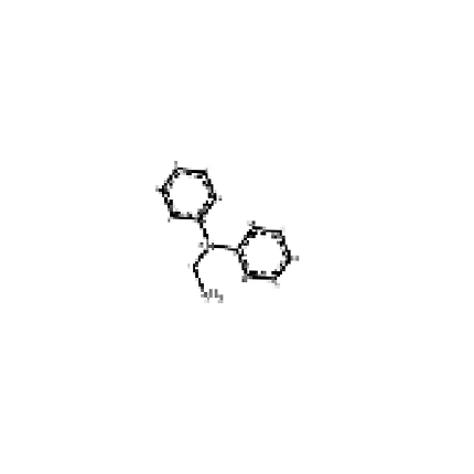 [SiH3]CN(c1ccccc1)c1ccccc1